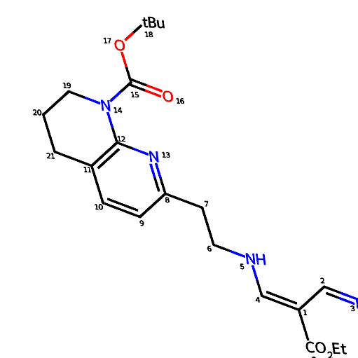 CCOC(=O)/C(C=N)=C/NCCc1ccc2c(n1)N(C(=O)OC(C)(C)C)CCC2